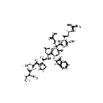 CC(C)C[C@H](NC(=O)[C@@H]1CCCN1C(=O)[C@H](CO)NC(=O)[C@@H](N)CO)C(=O)N[C@@H](Cc1c[nH]c2ccccc12)C(=O)N[C@@H](CCC(=O)O)C(=O)N[C@@H](CCCNC(=N)N)C(=O)O